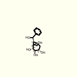 OC[C@]12[C@@H](O)[C@H](O)[C@@H](O)CN1[C@@H]2C(O)c1ccccc1